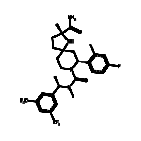 Cc1cc(F)ccc1[C@H]1C[C@@]2(CCN1C(=O)N(C)[C@H](C)c1cc(C(F)(F)F)cc(C(F)(F)F)c1)CC[C@](C)(C(N)=O)N2